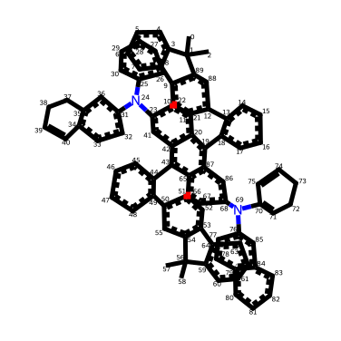 CC1(C)c2ccccc2-c2ccc(-c3ccccc3-c3c4ccc(N(c5ccccc5)c5ccc6c(c5)CCC=C6)cc4c(-c4ccccc4-c4ccc5c(c4)C(C)(C)c4ccccc4-5)c4ccc(N(C5=CCCC=C5)c5ccc6ccccc6c5)cc34)cc21